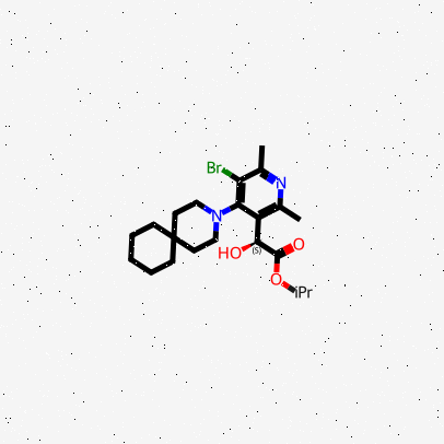 Cc1nc(C)c([C@H](O)C(=O)OC(C)C)c(N2CCC3(CCCCC3)CC2)c1Br